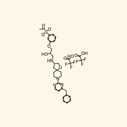 CNS(=O)(=O)c1cccc(OCC(O)CN[C@H]2COC3(CCN(c4nccc(Cc5ccccc5)n4)CC3)C2)c1.O=C(O)C(F)(F)F.O=C(O)C(F)(F)F